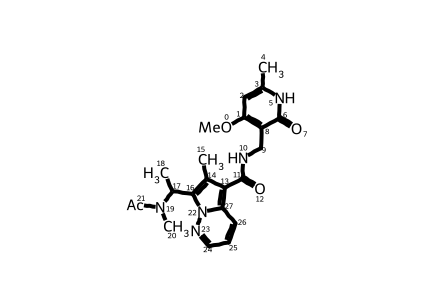 COc1cc(C)[nH]c(=O)c1CNC(=O)c1c(C)c(C(C)N(C)C(C)=O)n2ncccc12